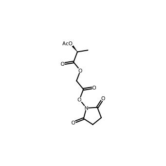 CC(=O)O[C@@H](C)C(=O)OCC(=O)ON1C(=O)CCC1=O